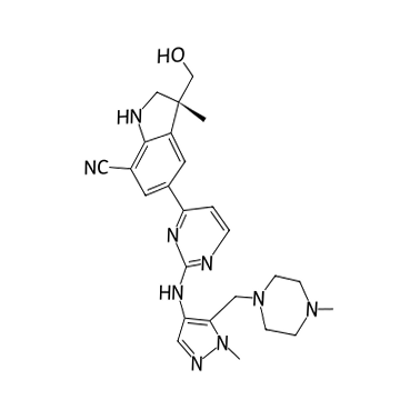 CN1CCN(Cc2c(Nc3nccc(-c4cc(C#N)c5c(c4)[C@@](C)(CO)CN5)n3)cnn2C)CC1